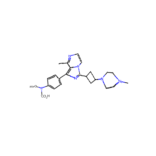 CON(C(=O)O)c1ccc(-c2nc(C3CC(N4CCN(C)CC4)C3)n3ccnc(C)c23)cc1